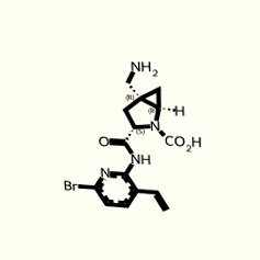 C=Cc1ccc(Br)nc1NC(=O)[C@@H]1C[C@@]2(CN)C[C@H]2N1C(=O)O